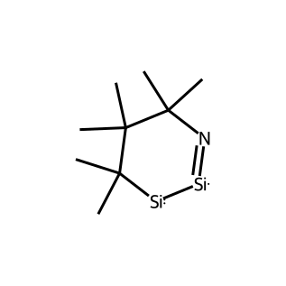 CC1(C)N=[Si][Si]C(C)(C)C1(C)C